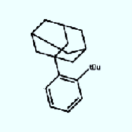 CC(C)(C)c1ccc[c]c1C12CC3CC(CC(C3)C1)C2